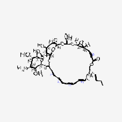 CCCC[C@@H]1C/C=C/C=C/C=C/C=C/C(O[C@@H]2O[C@H](C)[C@@H](O)[C@H](N)[C@@H]2O)C[C@@H]2O[C@](O)(CC(O)C[C@H]3O[C@@H]3/C=C/C(=O)O1)C[C@H](O)[C@H]2C(=O)O